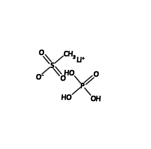 CS(=O)(=O)[O-].O=P(O)(O)O.[Li+]